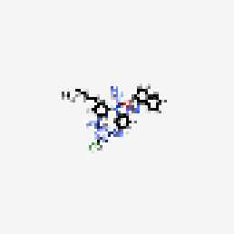 CCCCc1cccc(Nc2nc(Cl)nc(Nc3ccc(N=Nc4cccc5ccccc45)c(NC(N)=O)c3)n2)c1